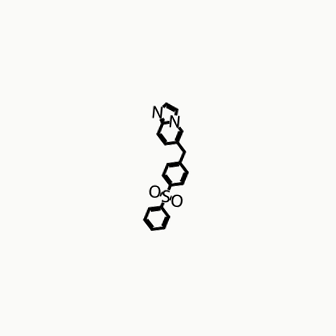 O=S(=O)(c1ccccc1)c1ccc(Cc2ccc3nccn3c2)cc1